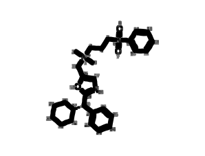 C[N+](C)(CCCS(=O)(=O)c1ccccc1)Cc1cnc([C@H](c2ccccc2)C2CCCCC2)o1